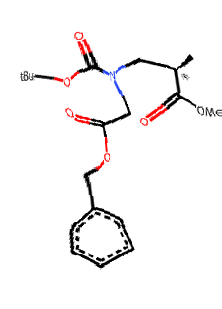 COC(=O)[C@H](C)CN(CC(=O)OCc1ccccc1)C(=O)OC(C)(C)C